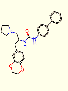 O=C(Nc1ccc(-c2ccccc2)cc1)NC(Cc1ccc2c(c1)OCCO2)CN1CCCC1